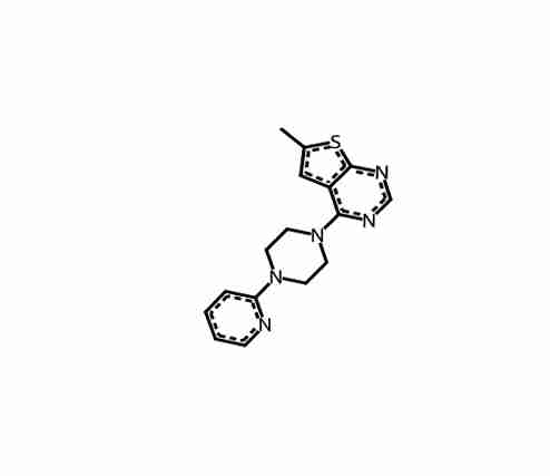 Cc1cc2c(N3CCN(c4ccccn4)CC3)ncnc2s1